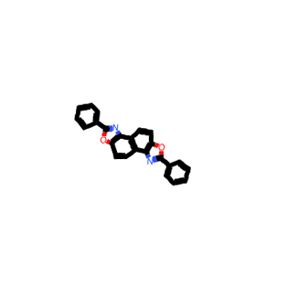 c1ccc(-c2nc3c(ccc4c3ccc3oc(-c5ccccc5)nc34)o2)cc1